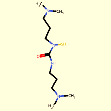 CN(C)CCCNC(=O)N(S)CCCN(C)C